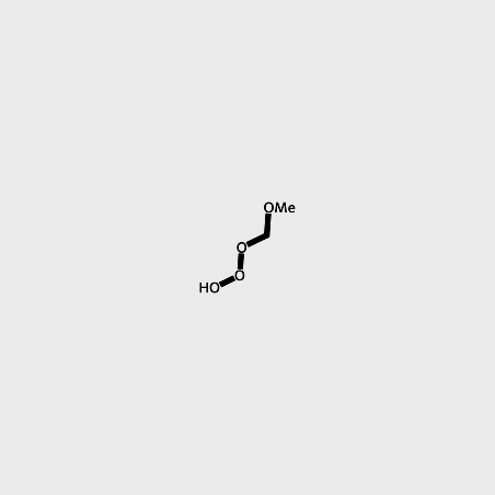 COCOOO